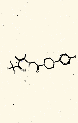 C/C(NCC(=O)N1CCN(c2ccc(I)cc2)CC1)=C(\C)C(=N)C(F)(F)F